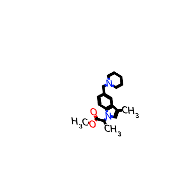 COC(=O)C(C)n1cc(C)c2cc(CN3CCCCC3)ccc21